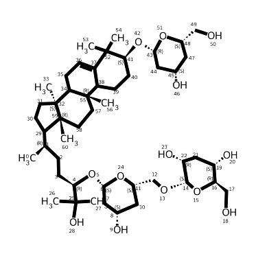 C[C@H](CC[C@@H](O[C@H]1C[C@@H](O)C[C@@H](CO[C@H]2O[C@H](CO)[C@@H](O)C[C@H]2O)O1)C(C)(C)O)C1CC[C@@]2(C)C3CC=C4C(CC[C@H](O[C@H]5C[C@@H](O)C[C@@H](CO)O5)C4(C)C)[C@]3(C)CC[C@]12C